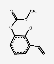 C=[C]c1cccc(OC(=O)OC(C)(C)C)c1Cl